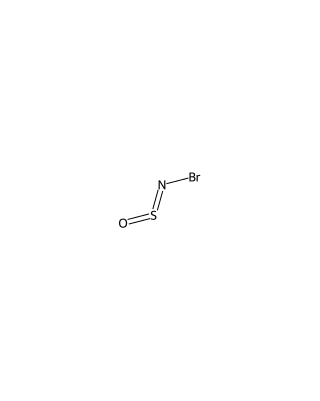 O=S=NBr